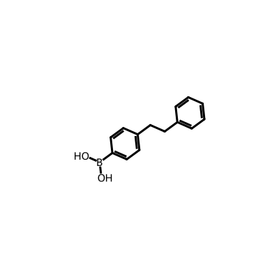 OB(O)c1ccc(CCc2ccccc2)cc1